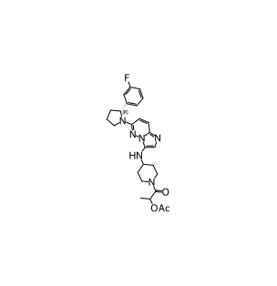 CC(=O)OC(C)C(=O)N1CCC(Nc2cnc3ccc(N4CCC[C@@H]4c4cccc(F)c4)nn23)CC1